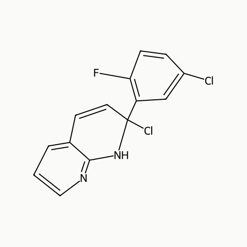 Fc1ccc(Cl)cc1C1(Cl)C=Cc2cccnc2N1